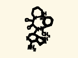 CN1c2cccc(c2)[C@H]2CCCCN2C(=O)C(=O)N1c1cnc(N)c2cn[nH]c12